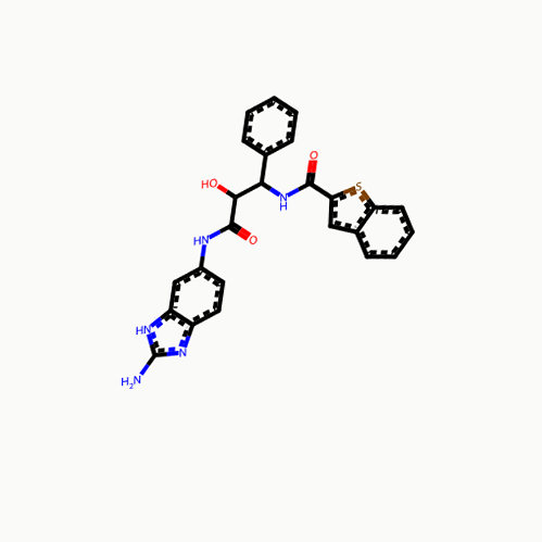 Nc1nc2ccc(NC(=O)C(O)C(NC(=O)c3cc4ccccc4s3)c3ccccc3)cc2[nH]1